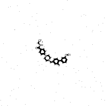 CCOc1cccc(-c2ccc(CN3CCN(c4ccc(C(=O)NCC(F)(F)F)cc4)CC3)cc2F)c1